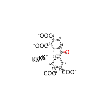 O=C(c1ccc(C(=O)[O-])c(C(=O)[O-])c1)c1ccc(C(=O)[O-])c(C(=O)[O-])c1.[K+].[K+].[K+].[K+]